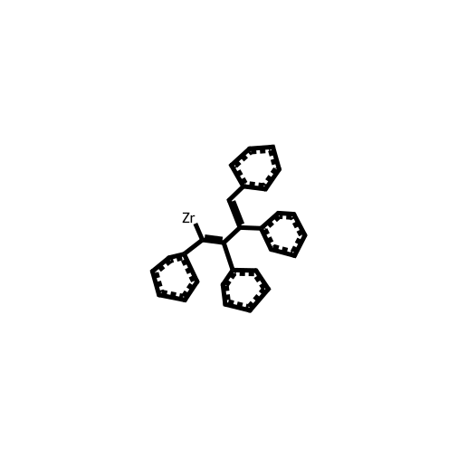 [Zr][C](=C(C(=Cc1ccccc1)c1ccccc1)c1ccccc1)c1ccccc1